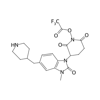 Cn1c(=O)n(C2CCC(=O)N(OC(=O)C(F)(F)F)C2=O)c2ccc(CC3CCNCC3)cc21